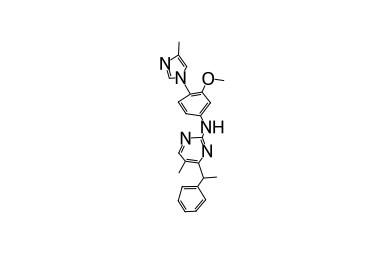 COc1cc(Nc2ncc(C)c(C(C)c3ccccc3)n2)ccc1-n1cnc(C)c1